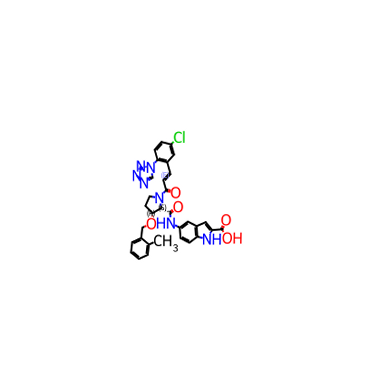 Cc1ccccc1CO[C@@H]1CCN(C(=O)/C=C/c2cc(Cl)ccc2-n2cnnn2)[C@@H]1C(=O)Nc1ccc2[nH]c(C(=O)O)cc2c1